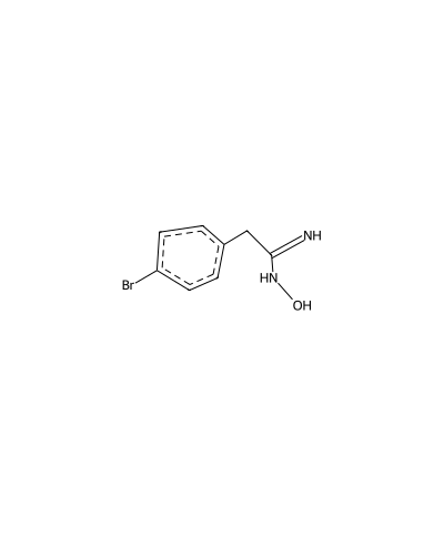 N=C(Cc1ccc(Br)cc1)NO